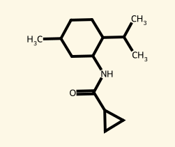 CC1CCC(C(C)C)C(NC(=O)C2CC2)C1